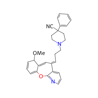 COC1C=CC=C2Oc3ncccc3C(=CCCN3CCC(C#N)(c4ccccc4)CC3)C=C21